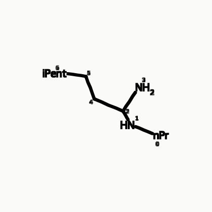 CCCNC(N)CCC(C)CCC